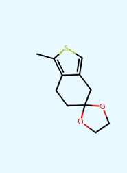 Cc1scc2c1CCC1(C2)OCCO1